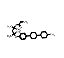 C=CC(=O)OC(C)(C)CC(C)(C)Oc1ccc(C2CCC(C3CCC(C)CC3)CC2)cc1